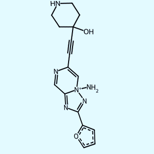 N[N+]12C=C(C#CC3(O)CCNCC3)N=CC1=NC(c1ccco1)=N2